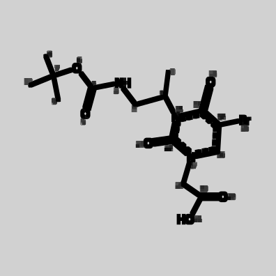 CC(CNC(=O)OC(C)(C)C)n1c(=O)c(Br)cn(CC(=O)O)c1=O